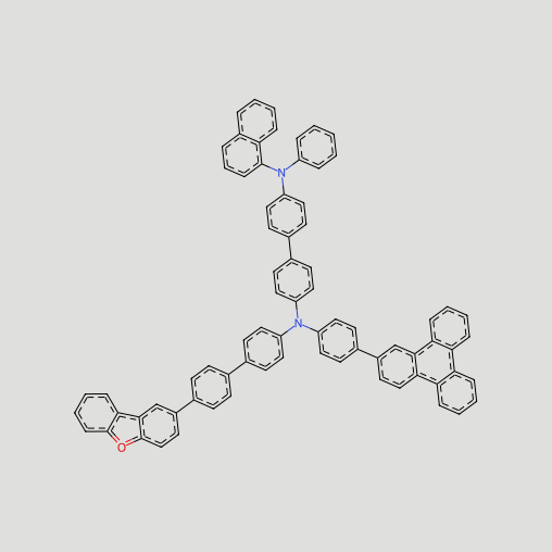 c1ccc(N(c2ccc(-c3ccc(N(c4ccc(-c5ccc(-c6ccc7oc8ccccc8c7c6)cc5)cc4)c4ccc(-c5ccc6c7ccccc7c7ccccc7c6c5)cc4)cc3)cc2)c2cccc3ccccc23)cc1